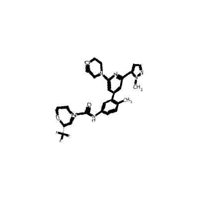 Cc1ccc(NC(=O)N2CCO[C@@H](C(F)(F)F)C2)cc1-c1cc(-c2ccnn2C)nc(N2CCOCC2)c1